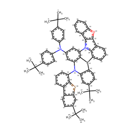 CC(C)(C)c1ccc(N(c2ccc(C(C)(C)C)cc2)c2cc3c4c(c2)-n2c5c(cccc5c5oc6ccccc6c52)B4c2ccc(C(C)(C)C)cc2N3c2cccc3c2sc2cc(C(C)(C)C)ccc23)cc1